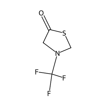 O=C1CN(C(F)(F)F)CS1